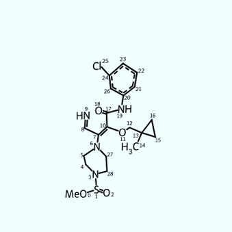 COS(=O)N1CCN(/C(C=N)=C(\OCC2(C)CC2)C(=O)Nc2cccc(Cl)c2)CC1